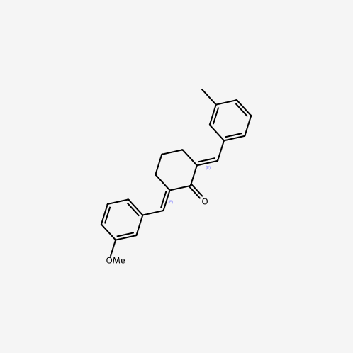 COc1cccc(/C=C2\CCC/C(=C\c3cccc(C)c3)C2=O)c1